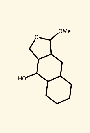 COC1OCC2C(O)C3CCCCC3CC12